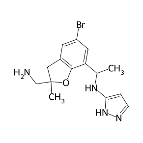 CC(Nc1ccn[nH]1)c1cc(Br)cc2c1OC(C)(CN)C2